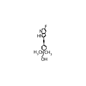 CN(CCO)C1(C)C=CC(C#Cc2cc3cc(F)cnc3[nH]2)=CC1